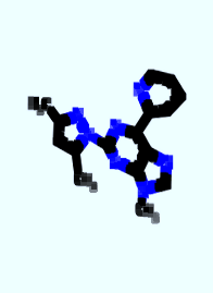 Cc1cc(C)n(-c2nc(-c3ccccn3)c3ncn(C)c3n2)n1